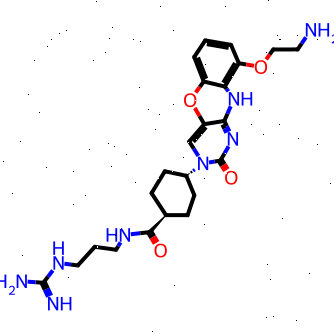 N=C(N)NCCCNC(=O)[C@H]1CC[C@H](n2cc3c(nc2=O)Nc2c(OCCN)cccc2O3)CC1